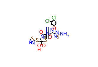 Nc1nc(C(=NOc2ccc(Cl)c(Cl)c2)C(=O)NC2C(=O)N3CC(CSc4nncs4)(C(=O)O)CS[C@H]23)ns1